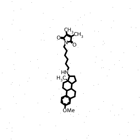 COc1ccc2c(c1)CCC1C2CC[C@]2(C)C(NCCCCCCN3C(=O)C(C)=C(C)C3=O)CCC12